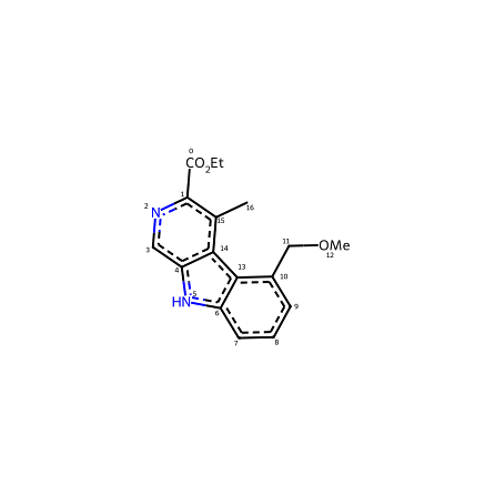 CCOC(=O)c1ncc2[nH]c3cccc(COC)c3c2c1C